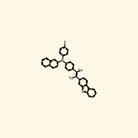 [2H]/C(=C(/[2H])c1ccc2c(c1)sc1ccccc12)c1ccc(N(c2ccc(F)cc2)c2ccc3ccccc3c2)cc1